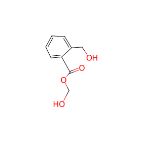 O=C(OCO)c1ccccc1CO